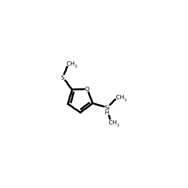 CSc1ccc([SiH](C)C)o1